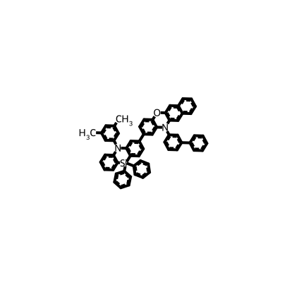 Cc1cc(C)cc(N2c3ccccc3[Si](c3ccccc3)(c3ccccc3)c3ccc(-c4ccc5c(c4)N(c4cccc(-c6ccccc6)c4)c4cc6ccccc6cc4O5)cc32)c1